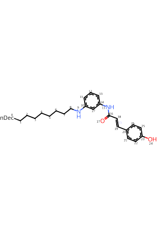 CCCCCCCCCCCCCCCCCCNc1cccc(NC(=O)/C=C/c2ccc(O)cc2)c1